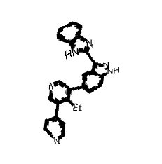 CCc1c(-c2ccncc2)cncc1-c1ccc2[nH]nc(-c3nc4ccccc4[nH]3)c2c1